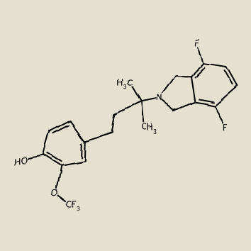 CC(C)(CCc1ccc(O)c(OC(F)(F)F)c1)N1Cc2c(F)ccc(F)c2C1